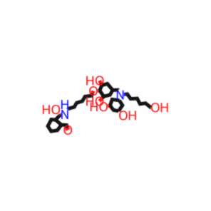 O=CC1CCCCC1C(O)NCCCCCCOC1C(O)CC(CN(CCCCCCO)C2CC(O)CC(O)C2)CC1O